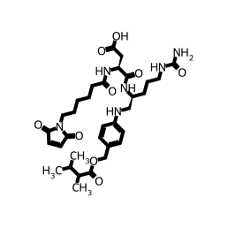 CC(C)C(C)C(=O)OCc1ccc(NC[C@H](CCCNC(N)=O)NC(=O)[C@H](CC(=O)O)NC(=O)CCCCCN2C(=O)C=CC2=O)cc1